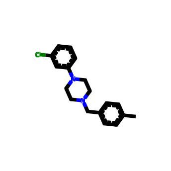 Cc1ccc(CN2CCN(c3cccc(Cl)c3)CC2)cc1